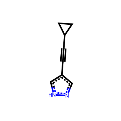 C(#CC1CC1)c1cn[nH]c1